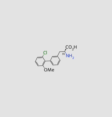 COc1cccc(Cl)c1-c1cccc(C[C@H](N)C(=O)O)c1